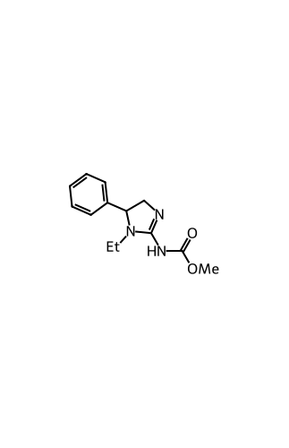 CCN1C(NC(=O)OC)=NCC1c1ccccc1